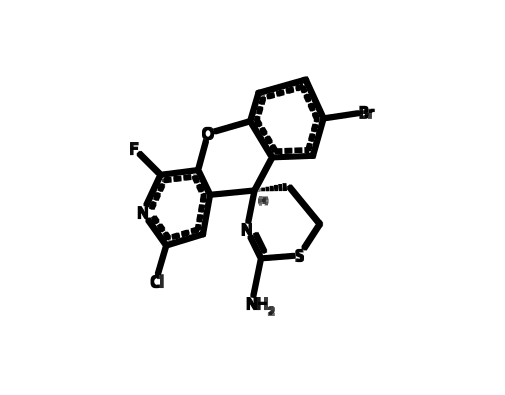 NC1=N[C@]2(CCS1)c1cc(Br)ccc1Oc1c2cc(Cl)nc1F